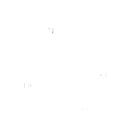 COC(Cl)CCN(C)C.Cl